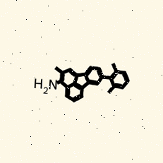 Cc1cccc(C)c1-c1ccc2c(c1)-c1cccc3c(N)c(C)cc-2c13